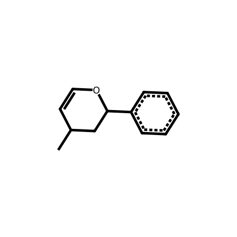 CC1C=COC(c2ccccc2)C1